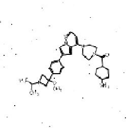 COC1(c2ccc(-c3cc4c(N5CCN(C(=O)C6CCC(N)CC6)CC5)ccnn4c3)cc2)CN(C(C)C)C1